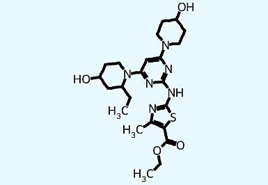 CCOC(=O)c1sc(Nc2nc(N3CCC(O)CC3)cc(N3CCC(O)CC3CC)n2)nc1C